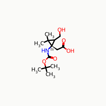 CC(C)(C)OC(=O)N[C@@]1(CC(=O)O)C(CO)C1(C)C